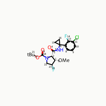 CO[C@H]1[C@@H](C(=O)NC2(c3cccc(Cl)c3F)CC2)N(C(=O)OC(C)(C)C)C[C@@H]1F